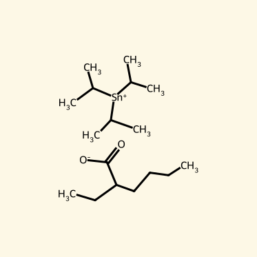 CCCCC(CC)C(=O)[O-].C[CH](C)[Sn+]([CH](C)C)[CH](C)C